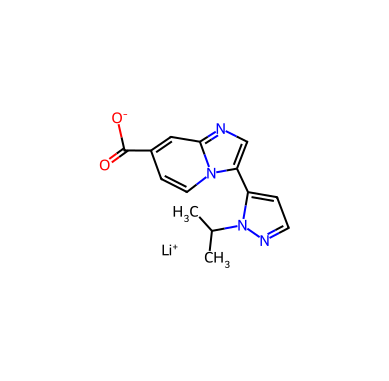 CC(C)n1nccc1-c1cnc2cc(C(=O)[O-])ccn12.[Li+]